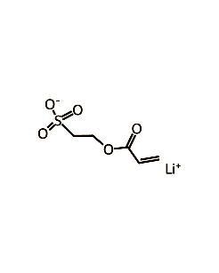 C=CC(=O)OCCS(=O)(=O)[O-].[Li+]